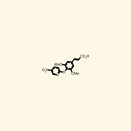 COc1cc(C=CC(=O)O)cc(OC)c1Oc1ccc([N+](=O)[O-])cn1